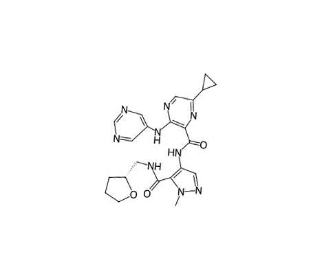 Cn1ncc(NC(=O)c2nc(C3CC3)cnc2Nc2cncnc2)c1C(=O)NC[C@H]1CCCO1